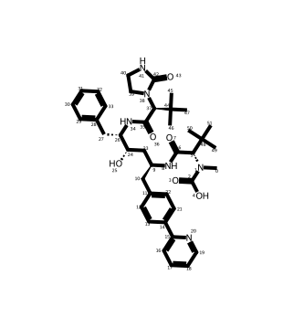 CN(C(=O)O)[C@H](C(=O)N[C@@H](Cc1ccc(-c2ccccn2)cc1)C[C@H](O)[C@H](Cc1ccccc1)NC(=O)[C@@H](N1CCNC1=O)C(C)(C)C)C(C)(C)C